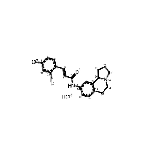 Cl.O=C(C=Cc1ccc(Cl)cc1F)Nc1ccc2c(c1)C1CCCN1CC2